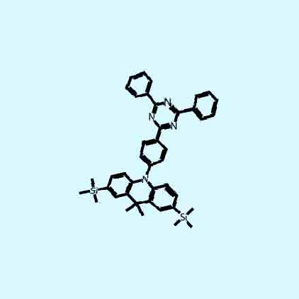 CC1(C)c2cc([Si](C)(C)C)ccc2N(c2ccc(-c3nc(-c4ccccc4)nc(-c4ccccc4)n3)cc2)c2ccc([Si](C)(C)C)cc21